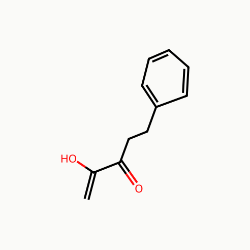 C=C(O)C(=O)CCc1ccccc1